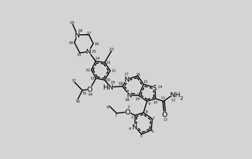 CCOc1ncccc1-c1c(C(N)=O)sc2cnc(Nc3cc(C)c(N4CCN(C)CC4)cc3OC(C)C)nc12